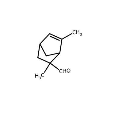 CC1=CC2CC1C(C)(C=O)C2